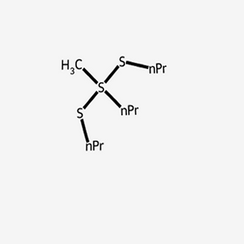 CCCSS(C)(CCC)SCCC